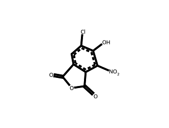 O=C1OC(=O)c2c1cc(Cl)c(O)c2[N+](=O)[O-]